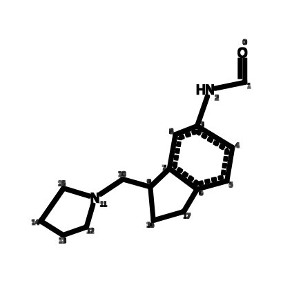 O=CNc1ccc2c(c1)C(CN1CCCC1)CC2